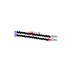 CCCCCCCCCCCCCCCCCCCCCCCCCCCCCCCCCCCCCCN(C)C.CCCCCCCCCCCCCCCCCCCCCCCCCCCCCCCCCCCCCCN(C)C.O=S(=O)(O)O